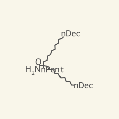 CCCCCCCCCCCCCCCCCCCCC(CCCCC)(CCCCCCCCCCCCCCCCCCCC)C(N)=O